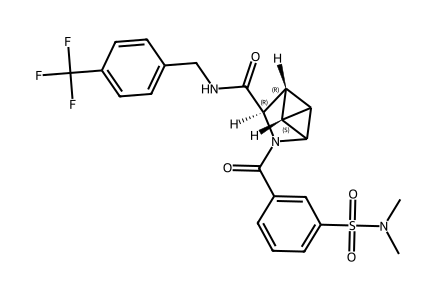 CN(C)S(=O)(=O)c1cccc(C(=O)N2C3C4[C@H]3[C@@H]4[C@@H]2C(=O)NCc2ccc(C(F)(F)F)cc2)c1